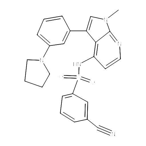 Cn1cc(-c2cccc(N3CCCC3)c2)c2c(NS(=O)(=O)c3cccc(C#N)c3)ccnc21